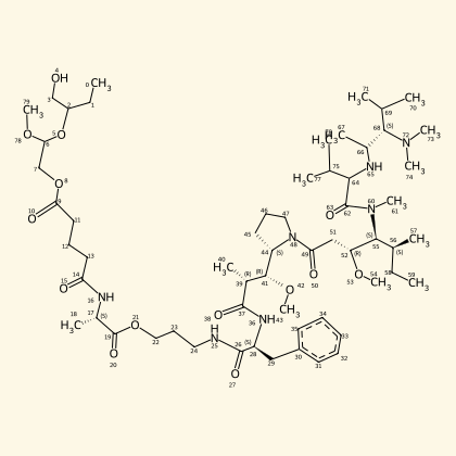 CCC(CO)OC(COC(=O)CCCC(=O)N[C@@H](C)C(=O)OCCCNC(=O)[C@H](Cc1ccccc1)NC(=O)[C@H](C)[C@@H](OC)[C@@H]1CCCN1C(=O)C[C@@H](OC)[C@H]([C@@H](C)CC)N(C)C(=O)C(NC(C)[C@H](C(C)C)N(C)C)C(C)C)OC